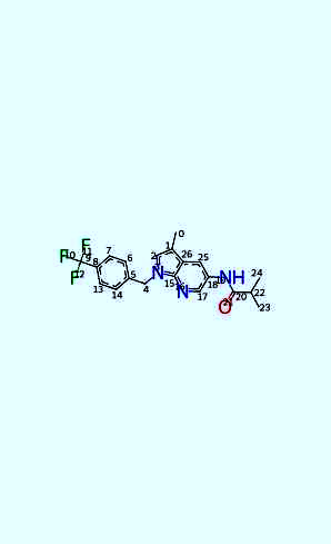 Cc1cn(Cc2ccc(C(F)(F)F)cc2)c2ncc(NC(=O)C(C)C)cc12